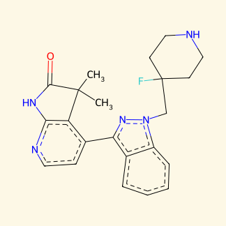 CC1(C)C(=O)Nc2nccc(-c3nn(CC4(F)CCNCC4)c4ccccc34)c21